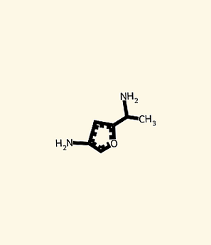 CC(N)c1cc(N)co1